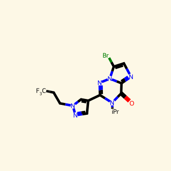 CC(C)n1c(-c2cnn(CCC(F)(F)F)c2)nn2c(Br)cnc2c1=O